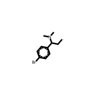 [CH2]CC(c1ccc(Br)cc1)N(C)C